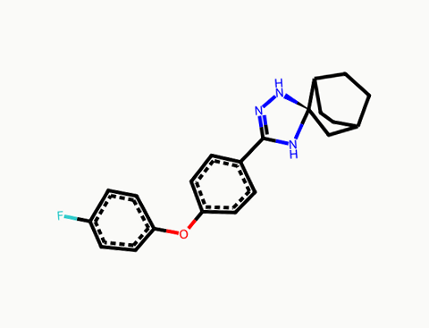 Fc1ccc(Oc2ccc(C3=NN[C@@]4(CC5CCC4CC5)N3)cc2)cc1